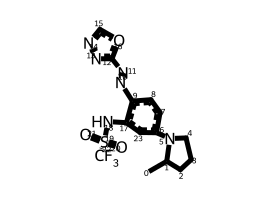 CC1CCCN1c1ccc(N=Nc2nnco2)c(NS(=O)(=O)C(F)(F)F)c1